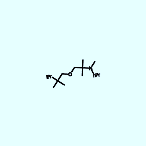 CCCN(C)C(C)(C)COCC(C)(C)C(C)C